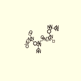 CC(=O)N1CCn2c(C3CCOC3)nc(-c3ccc4c(-c5cnn(C)c5)nn(CCC(=O)N5CCn6c(C7CCC7)nc(-c7ccc8c(c7)c(-c7cnn(C)c7)nn8C)c6C5)c4c3)c2C1